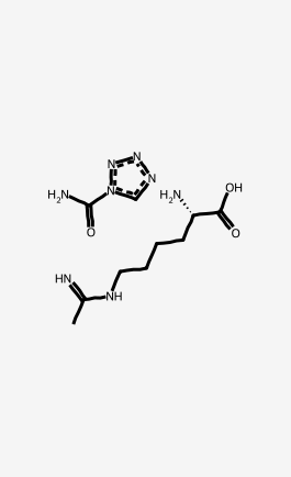 CC(=N)NCCCC[C@H](N)C(=O)O.NC(=O)n1cnnn1